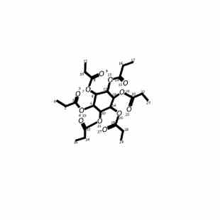 CCC(=O)OC1C(OC(=O)CC)C(OC(=O)CC)C(OC(=O)CC)C(OC(=O)CC)C1OC(=O)CC